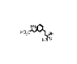 NC(Cc1cccc(CCP(=O)(O)O)c1)C(=O)O